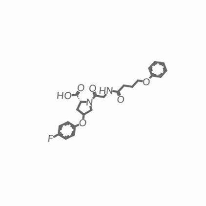 O=C(CCCOc1ccccc1)NCC(=O)N1CC(Oc2ccc(F)cc2)C[C@@H]1C(=O)O